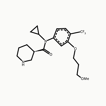 COCCCOc1cc(N(C(=O)[C@@H]2CCCNC2)C2CC2)ccc1C(F)(F)F